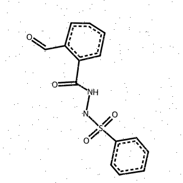 O=[C]c1ccccc1C(=O)N[N]S(=O)(=O)c1ccccc1